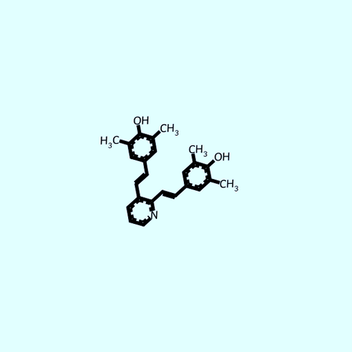 Cc1cc(C=Cc2cccnc2C=Cc2cc(C)c(O)c(C)c2)cc(C)c1O